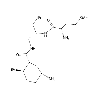 CSCC[C@H](N)C(=O)N[C@H](CNC(=O)[C@@H]1C[C@H](C)CC[C@H]1C(C)C)CC(C)C